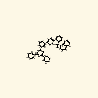 CC1(c2ccccc2C2=CC=C(c3cccc(-c4nc(C5=CCCC=C5)nc(C5=CC=CCC5)n4)c3)CC2)Cc2ccc3ccccc3c21